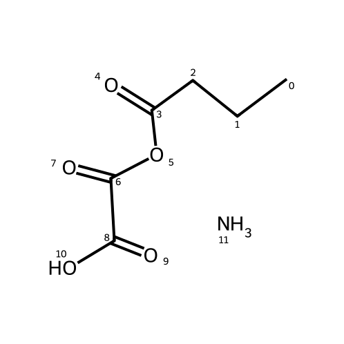 CCCC(=O)OC(=O)C(=O)O.N